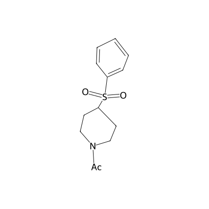 CC(=O)N1CCC(S(=O)(=O)c2ccccc2)CC1